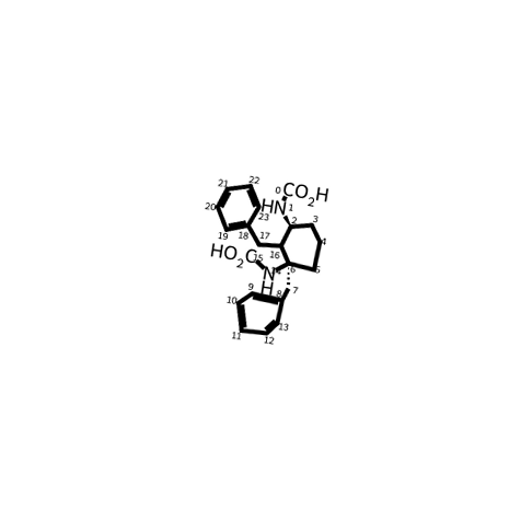 O=C(O)N[C@H]1CCC[C@@](Cc2ccccc2)(NC(=O)O)C1Cc1ccccc1